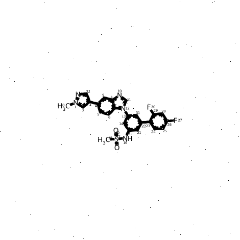 Cn1cc(-c2ccc3c(c2)ncn3-c2cc(NS(C)(=O)=O)cc(-c3ccc(F)cc3F)c2)cn1